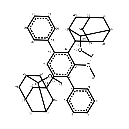 COc1c(-c2ccccc2)c(C23CC4CC(C2)C(OC)C(C4)C3)[c]c(-c2ccccc2)c1C1C2CC3CC(C2)C(OC)C1C3